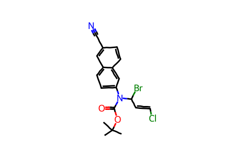 CC(C)(C)OC(=O)N(c1ccc2cc(C#N)ccc2c1)C(Br)C=CCl